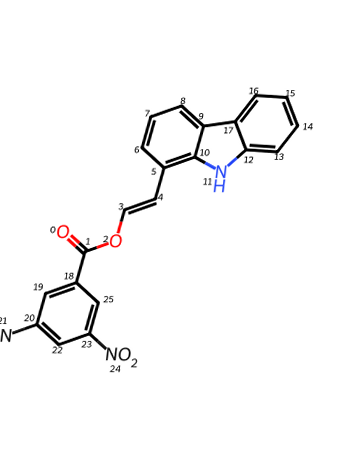 O=C(OC=Cc1cccc2c1[nH]c1ccccc12)c1cc([N+](=O)[O-])cc([N+](=O)[O-])c1